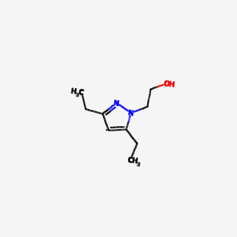 CCc1[c]c(CC)n(CCO)n1